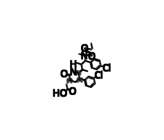 CCS(=O)(=O)N(C)C(c1ccc(Cl)cc1)C(C)C(C)[C@@H]1NC(=O)[C@@H](CC(=O)O)C[C@@H]1c1cccc(Cl)c1